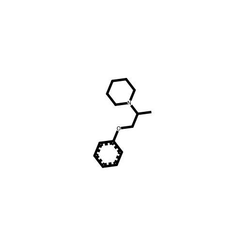 CC(COc1ccccc1)N1CCCCC1